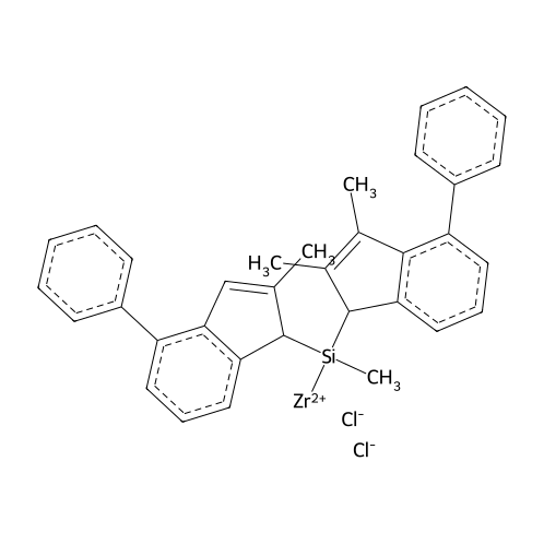 CC1=Cc2c(-c3ccccc3)cccc2C1[Si](C)([Zr+2])C1C(C)=C(C)c2c(-c3ccccc3)cccc21.[Cl-].[Cl-]